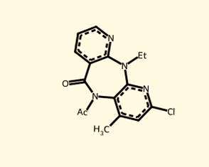 CCN1c2ncccc2C(=O)N(C(C)=O)c2c(C)cc(Cl)nc21